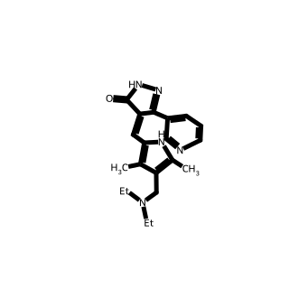 CCN(CC)Cc1c(C)[nH]c(/C=C2/C(=O)NN=C2c2cccnc2)c1C